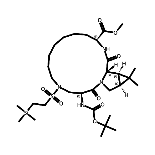 COC(=O)[C@@H]1CCCCCCCN(S(=O)(=O)CC[Si](C)(C)C)C[C@H](NC(=O)OC(C)(C)C)C(=O)N2C[C@H]3[C@@H]([C@H]2C(=O)N1)C3(C)C